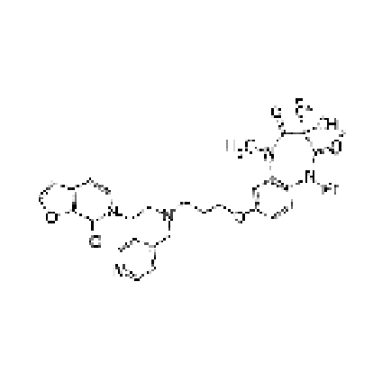 CCN1C(=O)C(C)(C)C(=O)N(C)c2cc(OCCCN(CCn3ccc4ccoc4c3=O)Cc3ccncc3)ccc21